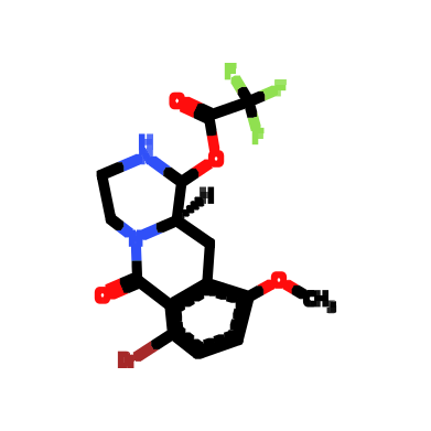 COc1ccc(Br)c2c1C[C@@H]1C(OC(=O)C(F)(F)F)NCCN1C2=O